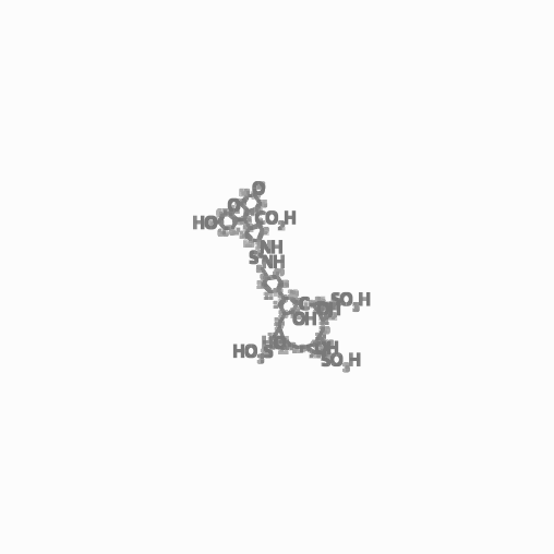 O=C(O)c1cc(NC(=S)NCc2ccc(C3=CC4CC5C=C(S(=O)(=O)O)C=C(CC6C=C(S(=O)(=O)O)C=C(CC7=CC(S(=O)(=O)O)=CC(CC(=C3)C4O)C7O)C6O)C5O)cc2)ccc1-c1c2ccc(=O)cc-2oc2cc(O)ccc12